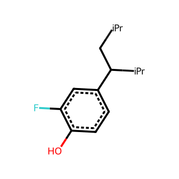 CC(C)CC(c1ccc(O)c(F)c1)C(C)C